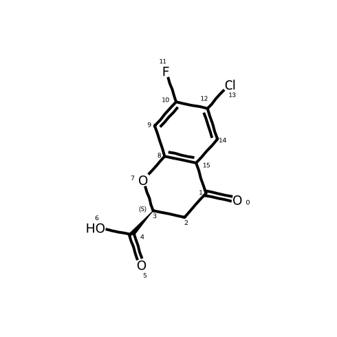 O=C1C[C@@H](C(=O)O)Oc2cc(F)c(Cl)cc21